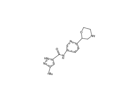 CCCCc1cc(C(=O)Nc2ccc(C3CNCCO3)nc2)[nH]n1